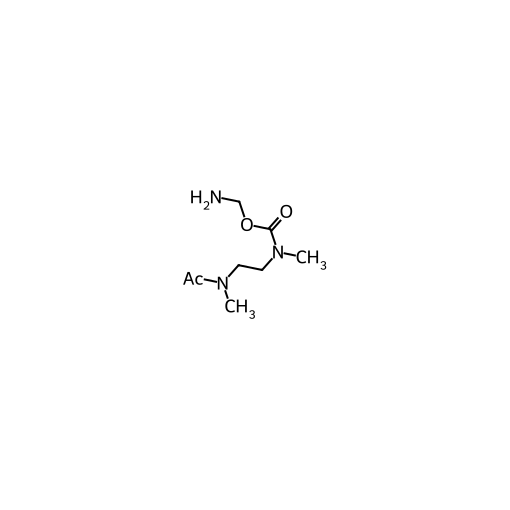 CC(=O)N(C)CCN(C)C(=O)OCN